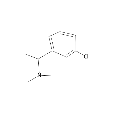 CC(c1cccc(Cl)c1)N(C)C